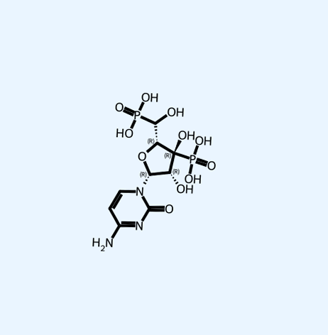 Nc1ccn([C@@H]2O[C@H](C(O)P(=O)(O)O)[C@](O)(P(=O)(O)O)[C@@H]2O)c(=O)n1